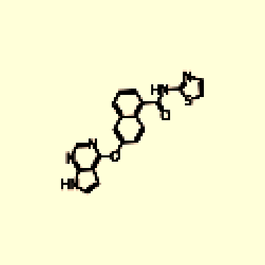 O=C(Nc1nccs1)c1cccc2cc(Oc3ncnc4[nH]ccc34)ccc12